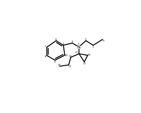 CCCN(Cc1ccccc1)C1(CCC)CC1